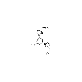 BCc1ccn(-c2cc(B)cc(-n3ccc(CC)n3)n2)n1